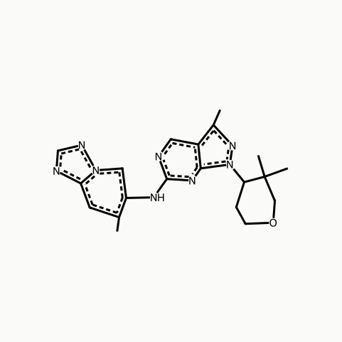 Cc1cc2ncnn2cc1Nc1ncc2c(C)nn(C3CCOCC3(C)C)c2n1